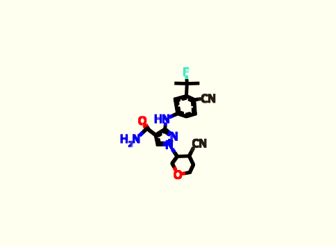 CC(C)(F)c1cc(Nc2nn(C3COCCC3C#N)cc2C(N)=O)ccc1C#N